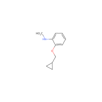 O=C(O)Nc1ccccc1OCC1CC1